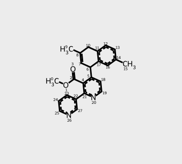 COC(=O)c1c(C2C=C(C)Cc3ccc(C)cc32)ccnc1-c1cccnc1